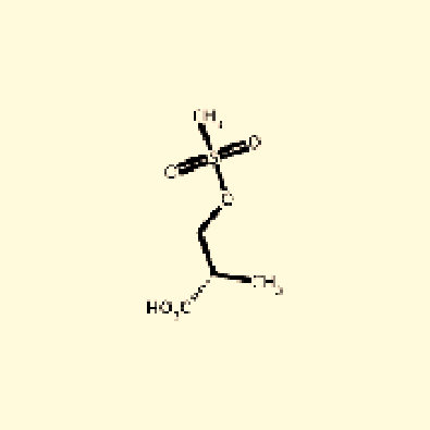 C[C@@H](COS(C)(=O)=O)C(=O)O